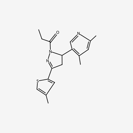 CCC(=O)N1N=C(c2cc(C)cs2)CC1c1cnc(C)cc1C